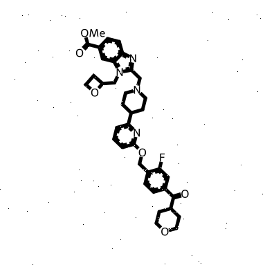 COC(=O)c1ccc2nc(CN3CCC(c4cccc(OCc5ccc(C(=O)C6CCOCC6)cc5F)n4)CC3)n(CC3CCO3)c2c1